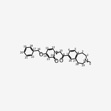 CN1CCc2ccc(C(=O)Cn3ccc(OCc4ccccc4)cc3=O)cc2CC1